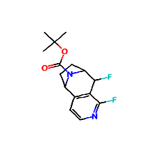 CC(C)(C)OC(=O)N1C2CCC1C(F)c1c2ccnc1F